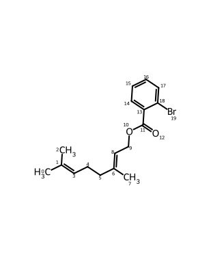 CC(C)=CCC/C(C)=C/COC(=O)c1ccccc1Br